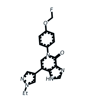 CCn1cc(-c2cn(-c3ccc(OCF)cc3)c(=O)c3nc[nH]c23)cn1